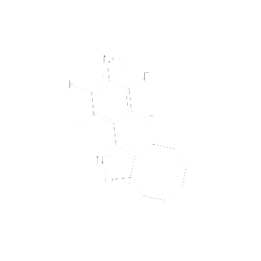 Cc1c(F)c([N+](=O)[O-])c(F)c(F)c1C1=NOC2CCCCCCC12